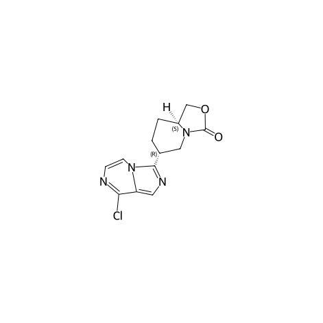 O=C1OC[C@@H]2CC[C@@H](c3ncc4c(Cl)nccn34)CN12